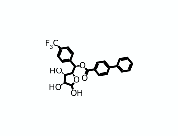 O=C(O[C@H](c1ccc(C(F)(F)F)cc1)[C@H]1OC(O)[C@H](O)[C@@H]1O)c1ccc(-c2ccccc2)cc1